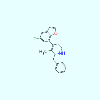 CC1=C(c2cc(F)cc3ccoc23)CCNC1Cc1ccccc1